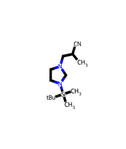 CC(C#N)CN1CCN([Si](C)(C)C(C)(C)C)C1